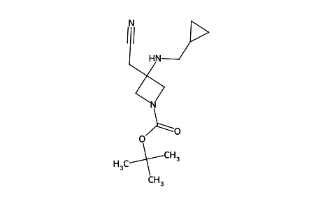 CC(C)(C)OC(=O)N1CC(CC#N)(NCC2CC2)C1